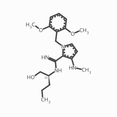 CCC[C@@H](CO)NC(=N)c1c(NC)ccn1Cc1c(OC)cccc1OC